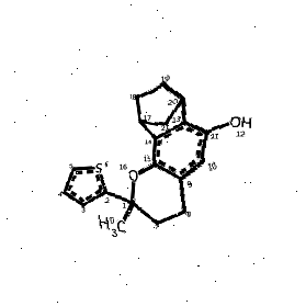 CC1(c2cccs2)CCc2cc(O)c3c(c2O1)C1CCC3C1